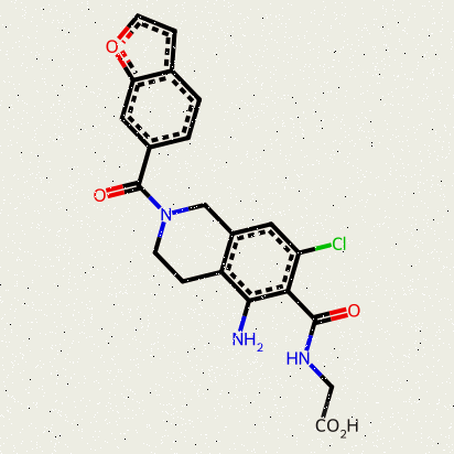 Nc1c2c(cc(Cl)c1C(=O)NCC(=O)O)CN(C(=O)c1ccc3ccoc3c1)CC2